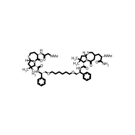 CNCC(=O)N[C@H]1CCS[C@H]2CC(C)(C)[C@@H](C(=O)N[C@H](COCCCCCCOC[C@@H](NC(=O)[C@H]3N4C(=O)CC(C[C@H](NC)C(N)=O)CS[C@H]4CC3(C)C)c3ccccc3)c3ccccc3)N2C1=O